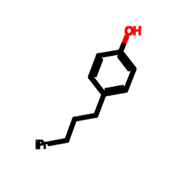 CC(C)CCCc1ccc(O)cc1